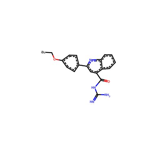 CCC(C)COc1ccc(-c2cc(C(=O)NC(=N)N)c3ccccc3n2)cc1